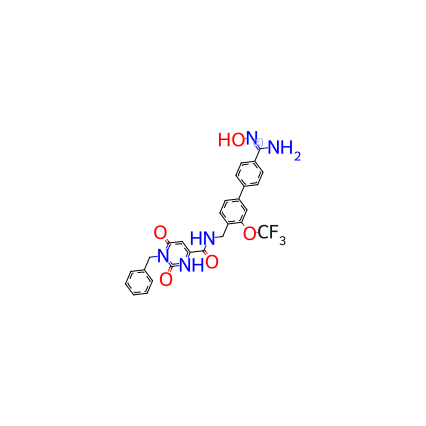 N/C(=N/O)c1ccc(-c2ccc(CNC(=O)c3cc(=O)n(Cc4ccccc4)c(=O)[nH]3)c(OC(F)(F)F)c2)cc1